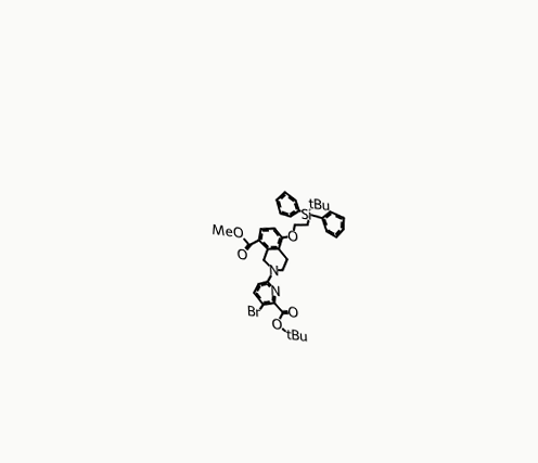 COC(=O)c1ccc(OCC[Si](c2ccccc2)(c2ccccc2)C(C)(C)C)c2c1CN(c1ccc(Br)c(C(=O)OC(C)(C)C)n1)CC2